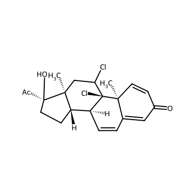 CC(=O)[C@@]1(O)CC[C@H]2[C@@H]3C=CC4=CC(=O)C=C[C@]4(C)[C@@]3(Cl)C(Cl)C[C@@]21C